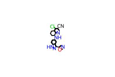 N#Cc1cnc2c(c1Cl)CCCC2Nc1ccc2[nH]nc(-c3cnco3)c2c1